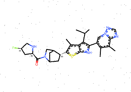 Cc1c(-c2[nH]c3sc([C@@H]4CC5CC4CN5C(=O)[C@H]4C[C@@H](F)CN4)c(C)c3c2C(C)C)cn2ncnc2c1C